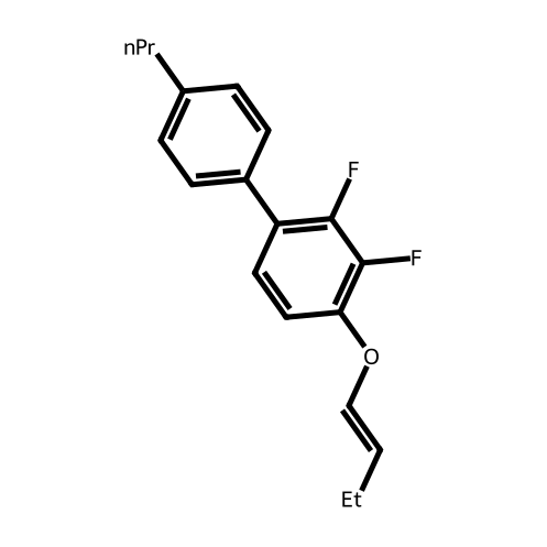 CC/C=C/Oc1ccc(-c2ccc(CCC)cc2)c(F)c1F